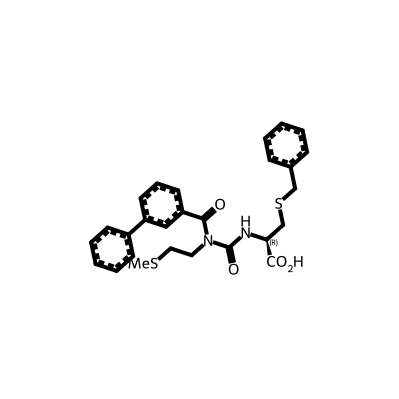 CSCCN(C(=O)N[C@@H](CSCc1ccccc1)C(=O)O)C(=O)c1cccc(-c2ccccc2)c1